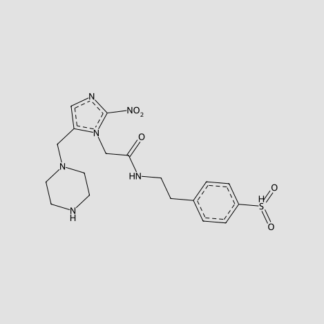 O=C(Cn1c(CN2CCNCC2)cnc1[N+](=O)[O-])NCCc1ccc([SH](=O)=O)cc1